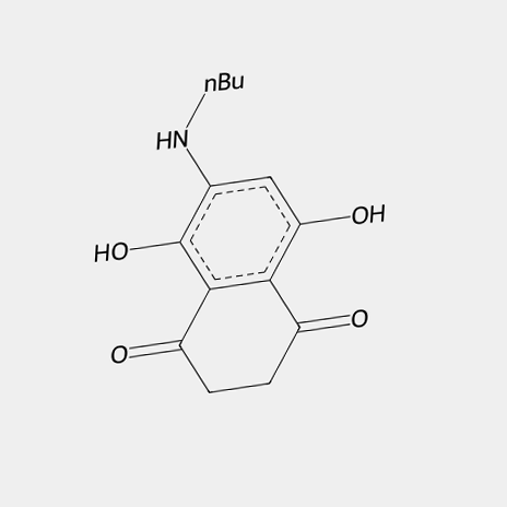 CCCCNc1cc(O)c2c(c1O)C(=O)CCC2=O